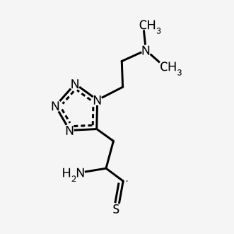 CN(C)CCn1nnnc1CC(N)[C]=S